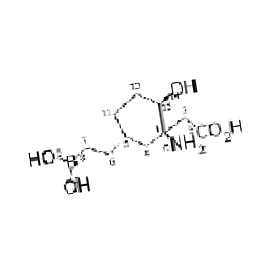 N[C@@]1(CC(=O)O)C[C@H](CCB(O)O)CC[C@H]1O